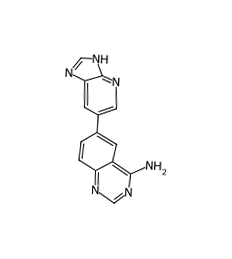 Nc1ncnc2ccc(-c3cnc4[nH]cnc4c3)cc12